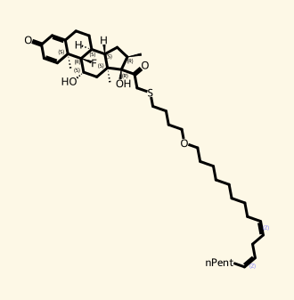 CCCCC/C=C\C/C=C\CCCCCCCCOCCCCSCC(=O)[C@@]1(O)[C@H](C)C[C@H]2[C@@H]3CCC4=CC(=O)C=C[C@]4(C)[C@@]3(F)[C@@H](O)C[C@@]21C